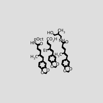 CC(/C=C/C(=O)NCC(C)CO)=C\c1ccc2c(c1)OCO2.CCC(/C=C/C(=O)O)=C\c1ccc2c(c1)OCO2.CCCCCCCCNC(=O)/C=C/C(C)=C/c1ccc2c(c1)OCO2